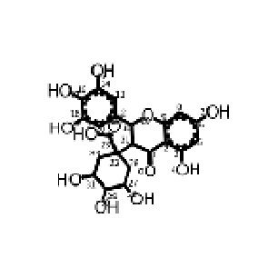 O=C1c2c(O)cc(O)cc2OC(c2cc(O)c(O)c(O)c2)C1C1(C(=O)O)CC(O)C(O)C(O)C1